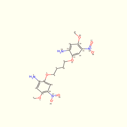 COc1cc(N)c(OCCCCOc2cc([N+](=O)[O-])c(OC)cc2N)cc1[N+](=O)[O-]